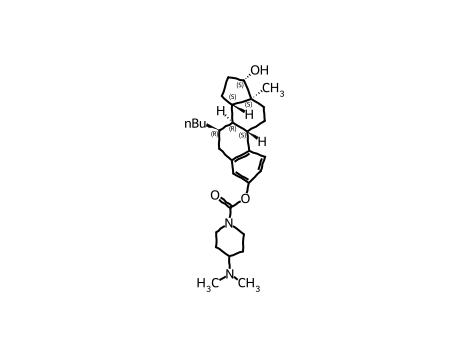 CCCC[C@@H]1Cc2cc(OC(=O)N3CCC(N(C)C)CC3)ccc2[C@H]2CC[C@]3(C)[C@@H](O)CC[C@H]3[C@H]12